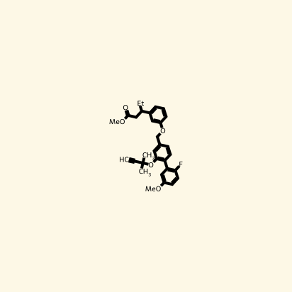 C#CC(C)(C)Oc1cc(COc2cccc(C(CC)CC(=O)OC)c2)ccc1-c1cc(OC)ccc1F